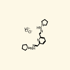 C(=NNN1CCCC1)c1cccc(C=NNN2CCCC2)n1.[Cl-].[Cl-].[V+2]